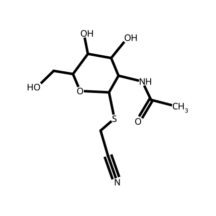 CC(=O)NC1C(SCC#N)OC(CO)C(O)C1O